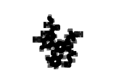 CCNC(=O)c1cc2c([nH]1)C(O)N(C)C=C2c1cc2c(cc1Oc1c(C)cccc1C)c(N(C)CCO)nn2CC(C)(C)O